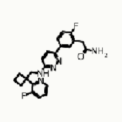 NC(=O)Cc1cc(-c2ccc(NCC3(c4ncccc4F)CCC3)nn2)ccc1F